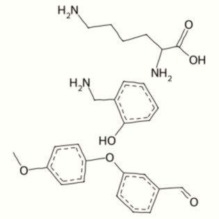 COc1ccc(Oc2cccc(C=O)c2)cc1.NCCCCC(N)C(=O)O.NCc1ccccc1O